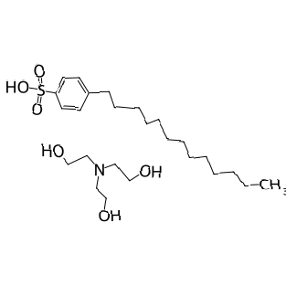 CCCCCCCCCCCCCc1ccc(S(=O)(=O)O)cc1.OCCN(CCO)CCO